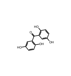 O=C(c1cc(O)ccc1O)c1cc(O)ccc1O